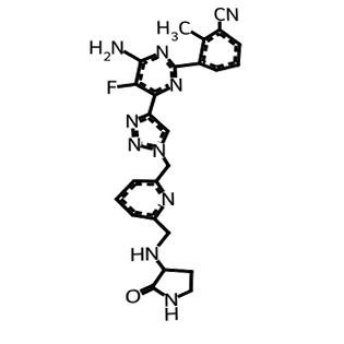 Cc1c(C#N)cccc1-c1nc(N)c(F)c(-c2cn(Cc3cccc(CNC4CCNC4=O)n3)nn2)n1